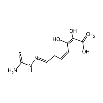 C=C(O)/C(O)=C(O)\C=C/C/C=N/NC(N)=S